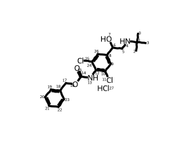 CC(C)(C)NCC(O)c1cc(Cl)c(NC(=O)OCc2ccccc2)c(Cl)c1.Cl